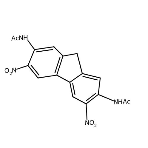 CC(=O)Nc1cc2c(cc1[N+](=O)[O-])-c1cc([N+](=O)[O-])c(NC(C)=O)cc1C2